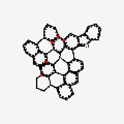 c1ccc(-c2cccc3cccc(-c4ccccc4N(c4ccccc4-c4cccc5c4oc4ccccc45)c4ccccc4-c4cccc5cccc(C6CCCCC6)c45)c23)cc1